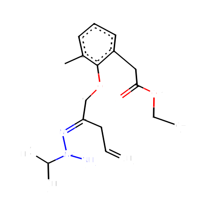 C=CC/C(COc1c(C)cccc1CC(=O)OCC)=N\N(N)C(C)C